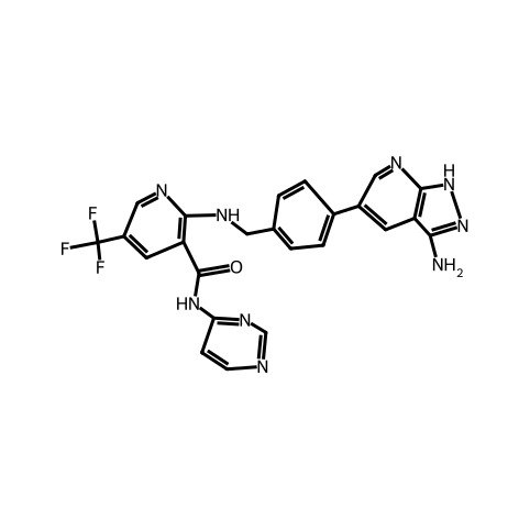 Nc1n[nH]c2ncc(-c3ccc(CNc4ncc(C(F)(F)F)cc4C(=O)Nc4ccncn4)cc3)cc12